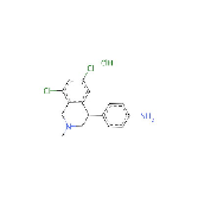 CN1Cc2c(Cl)cc(Cl)cc2C(c2ccc(N)cc2)C1.Cl